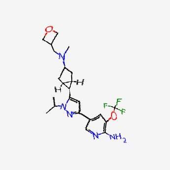 CC(C)n1nc(-c2cnc(N)c(OC(F)(F)F)c2)cc1[C@H]1[C@@H]2C[C@@H](N(C)CC3COC3)C[C@@H]21